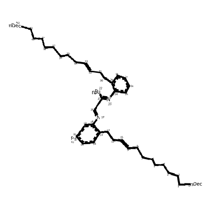 CCCCCCCCCCCCCCCCCCC=CCCc1ccccc1N=CC(CCCC)=Nc1ccccc1CCC=CCCCCCCCCCCCCCCCCCC.[Pd]